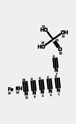 C#N.C#N.C#N.C#N.C#N.C#N.O=P(O)(O)O.[Fe].[KH]